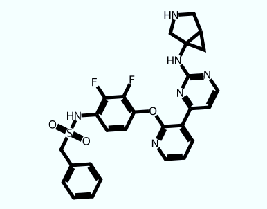 O=S(=O)(Cc1ccccc1)Nc1ccc(Oc2ncccc2-c2ccnc(NC34CNCC3C4)n2)c(F)c1F